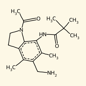 CC(=O)N1CCc2c(C)c(CN)c(C)c(NC(=O)C(C)(C)C)c21